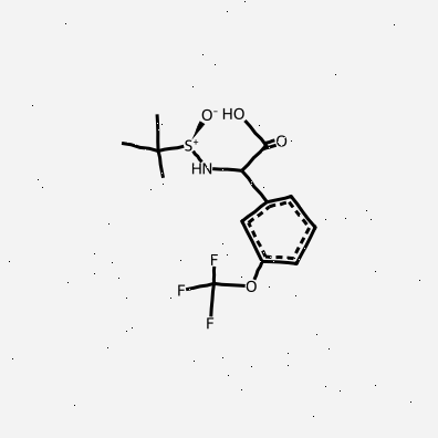 CC(C)(C)[S@@+]([O-])NC(C(=O)O)c1cccc(OC(F)(F)F)c1